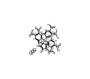 CC1=C(C)[C]([Ti+3])([Si](c2cc(N(C)C)c(N(C)C)cc2C)(c2cc(N(C)C)c(N(C)C)cc2C)c2cc(N(C)C)c(N(C)C)cc2C)C(C)=C1C.[Cl-].[Cl-].[Cl-]